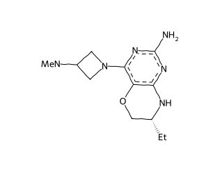 CC[C@@H]1COc2c(nc(N)nc2N2CC(NC)C2)N1